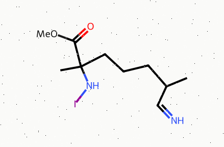 COC(=O)C(C)(CCCC(C)C=N)NI